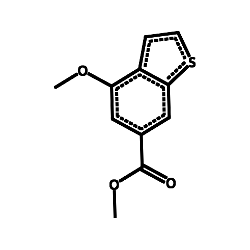 COC(=O)c1cc(OC)c2ccsc2c1